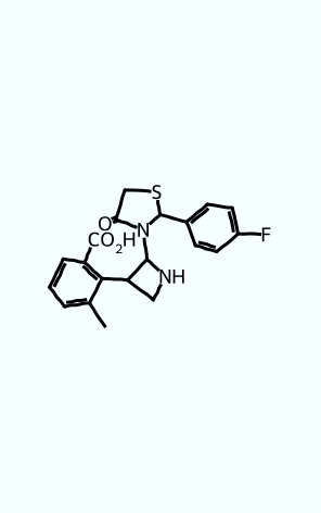 Cc1cccc(C(=O)O)c1C1CNC1N1C(=O)CSC1c1ccc(F)cc1